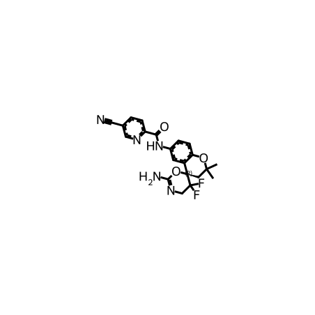 CC1(C)C[C@@]2(OC(N)=NCC2(F)F)c2cc(NC(=O)c3ccc(C#N)cn3)ccc2O1